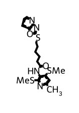 CSc1cc(C)nc(SC)c1NC(=O)CCCCCSc1nc2ncccc2o1